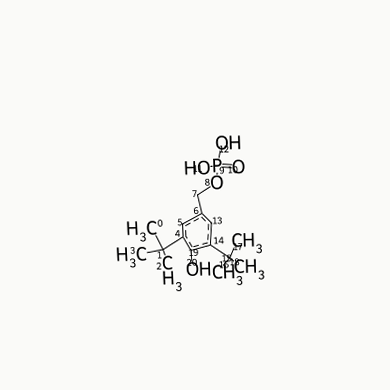 CC(C)(C)c1cc(COP(=O)(O)O)cc(C(C)(C)C)c1O